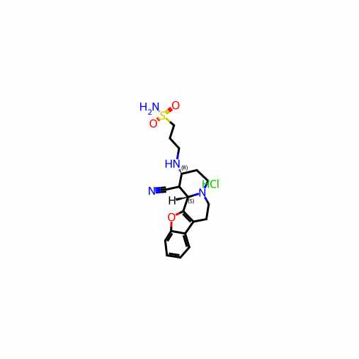 Cl.N#CC1[C@H]2c3oc4ccccc4c3CCN2CC[C@H]1NCCCS(N)(=O)=O